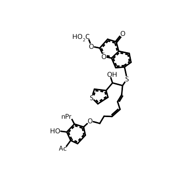 CCCc1c(OCC/C=C\C=C\C(Sc2ccc3c(=O)cc(OC(=O)O)oc3c2)C(O)c2ccsc2)ccc(C(C)=O)c1O